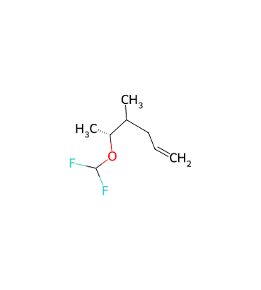 C=CCC(C)[C@@H](C)OC(F)F